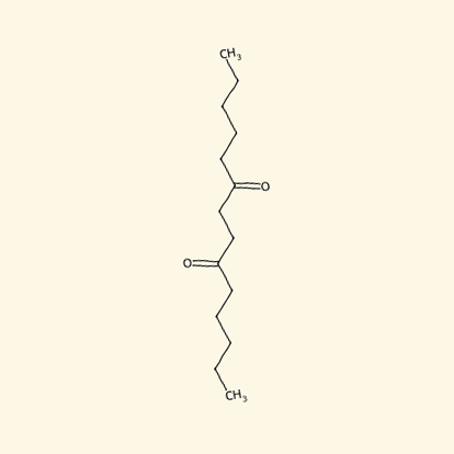 CCCCCC(=O)CCC(=O)CCCCC